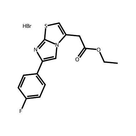 Br.CCOC(=O)Cc1csc2nc(-c3ccc(F)cc3)cn12